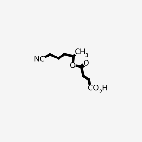 CC(CCCC#N)OC(=O)CCC(=O)O